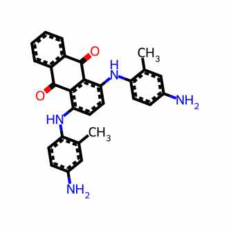 Cc1cc(N)ccc1Nc1ccc(Nc2ccc(N)cc2C)c2c1C(=O)c1ccccc1C2=O